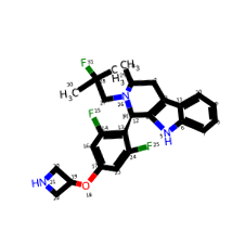 CC1Cc2c([nH]c3ccccc23)[C@@H](c2c(F)cc(OC3CNC3)cc2F)N1CC(C)(C)F